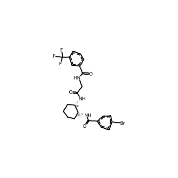 O=C(CNC(=O)c1cccc(C(F)(F)F)c1)N[C@H]1CCCC[C@H]1NC(=O)c1ccc(Br)cc1